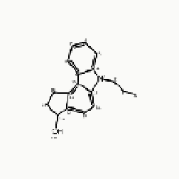 CCCn1c2ccccc2c2c3c(ccc21)C(O)CC3